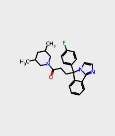 CC1CC(C)CN(C(=O)CCC2(c3ccc(F)cc3)c3ccccc3-c3nccn32)C1